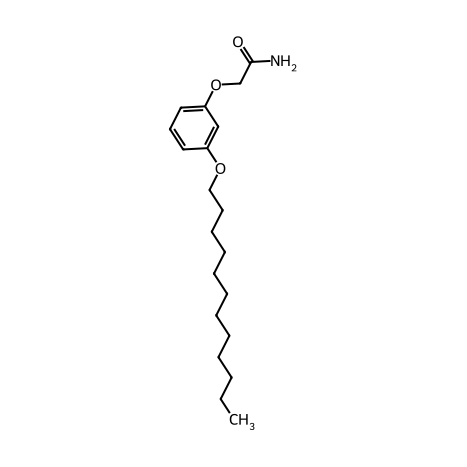 CCCCCCCCCCCCOc1cccc(OCC(N)=O)c1